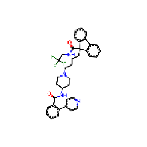 O=C(NC1CCN(CCCCC2(C(=O)NCC(F)(F)F)c3ccccc3-c3ccccc32)CC1)c1ccccc1-c1ccncc1